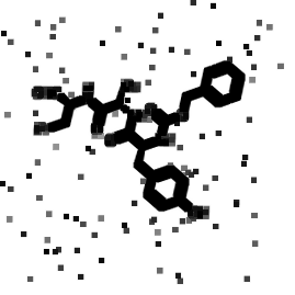 CC[C@H](C)[C@H](NC(=O)[C@H](Cc1ccc(O)cc1)NC(=O)OCc1ccccc1)C(=O)N[C@H](C=O)CC(C)C